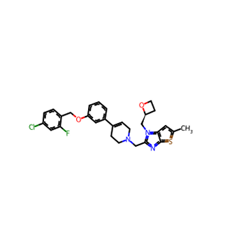 Cc1cc2c(nc(CN3CC=C(c4cccc(OCc5ccc(Cl)cc5F)c4)CC3)n2C[C@@H]2CCO2)s1